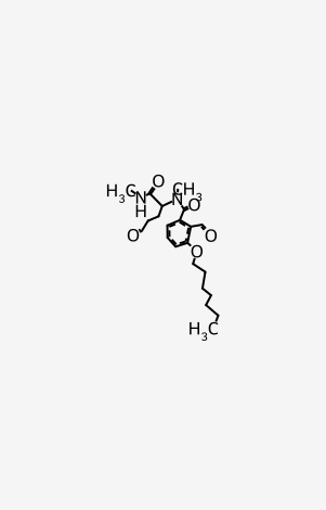 CCCCCCCOc1cccc(C(=O)N(C)C(CCC=O)C(=O)NC)c1C=O